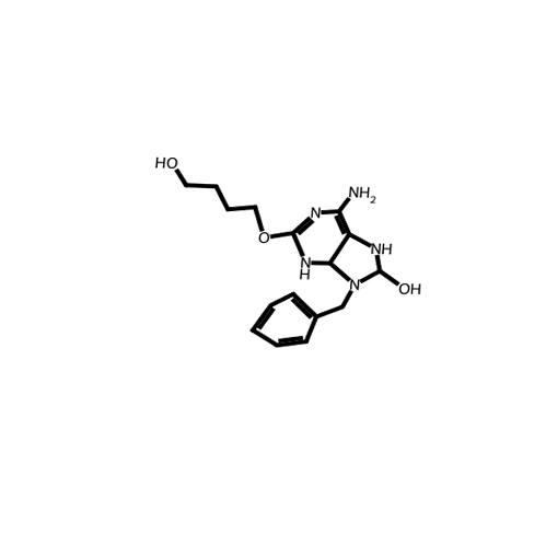 NC1=C2NC(O)N(Cc3ccccc3)C2NC(OCCCCO)=N1